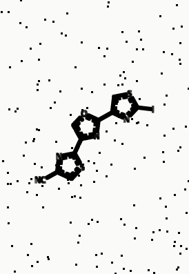 N#Cc1csc(-c2coc(-c3csc(I)n3)n2)n1